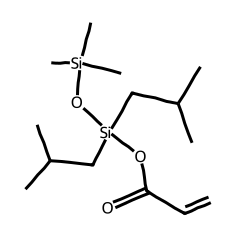 C=CC(=O)O[Si](CC(C)C)(CC(C)C)O[Si](C)(C)C